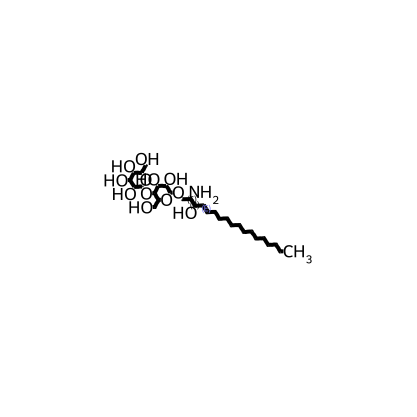 CCCCCCCCCCCCC/C=C/[C@@H](O)[C@@H](N)COC1OC(CO)C(OC2OC(CO)C(O)C(O)C2O)C(O)C1O